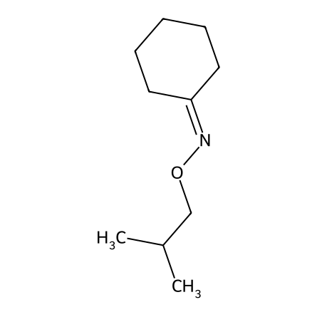 CC(C)CON=C1CCCCC1